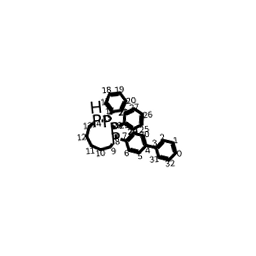 c1ccc(-c2ccc(P3CCCCCPP(c4ccccc4)P3c3ccccc3)cc2)cc1